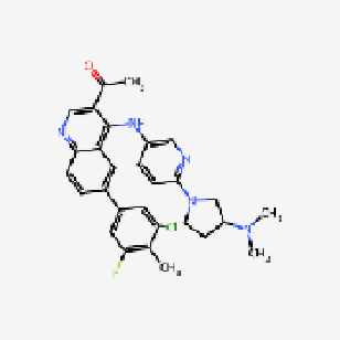 CC(=O)c1cnc2ccc(-c3cc(F)c(C)c(Cl)c3)cc2c1Nc1ccc(N2CCC(N(C)C)C2)nc1